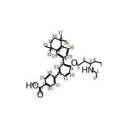 CCNC(CC)CCOc1ccc(-c2ccc(C(=O)O)cc2)cc1-c1ccc2c(c1)C(C)(C)CCC2(C)C